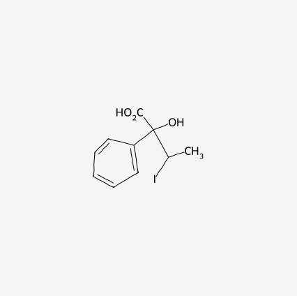 CC(I)C(O)(C(=O)O)c1ccccc1